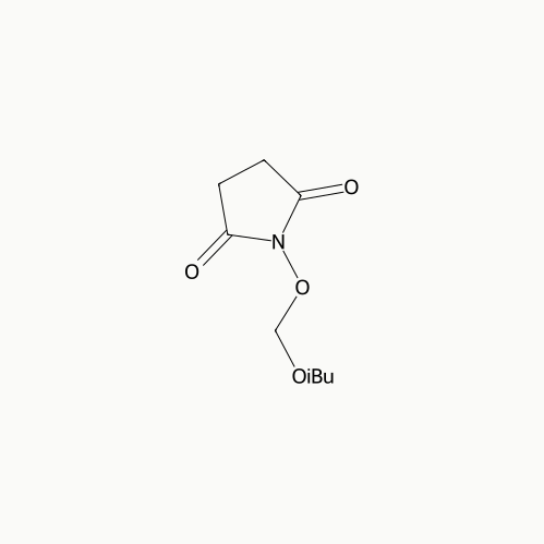 CC(C)COCON1C(=O)CCC1=O